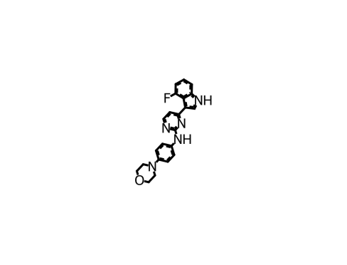 Fc1cccc2[nH]cc(-c3ccnc(Nc4ccc(N5CCOCC5)cc4)n3)c12